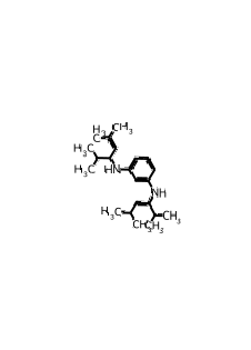 CC(C)=CC(Nc1cccc(NC(=CC(C)C)C(C)C)c1)C(C)C